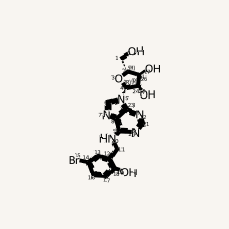 OC[C@H]1O[C@@H](n2cnc3c(NCc4cc(Br)ccc4O)ncnc32)[C@H](O)[C@@H]1O